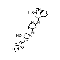 CC1(C)CC(Nc2ncnc(N[C@@H]3C[C@@H](COS(N)(=O)=O)[C@@H](O)C3)n2)c2ccccc21